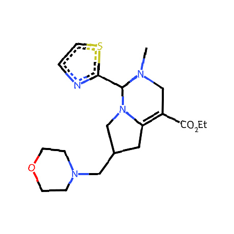 CCOC(=O)C1=C2CC(CN3CCOCC3)CN2C(c2nccs2)N(C)C1